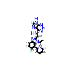 CCn1c([C@H](C)Nc2ncnc3[nH]cnc23)nc2ccc(F)c(-c3ccccn3)c21